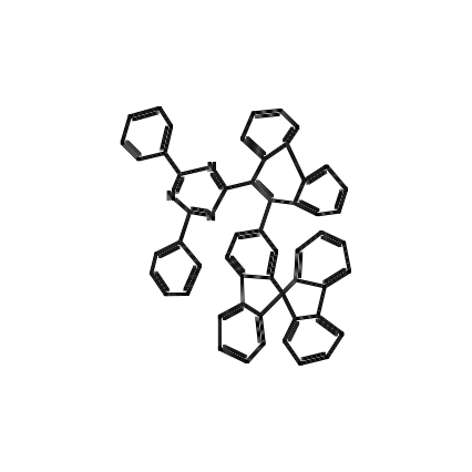 c1ccc(-c2nc(-c3ccccc3)nc(-c3c(-c4ccc5c(c4)C4(c6ccccc6-c6ccccc64)c4ccccc4-5)c4ccccc4c4ccccc34)n2)cc1